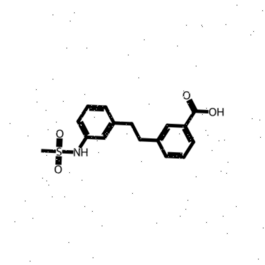 CS(=O)(=O)Nc1cccc(CCc2cccc(C(=O)O)c2)c1